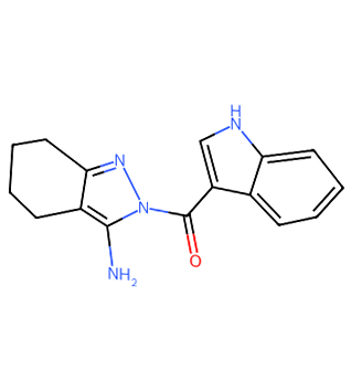 Nc1c2c(nn1C(=O)c1c[nH]c3ccccc13)CCCC2